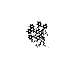 CCCCOP(=O)(OCCCC)OC1OC(CC)C(OCc2ccccc2)C(OC2OC(COCc3ccccc3)C(OCc3ccccc3)C(OCc3ccccc3)C2OCc2ccccc2)C1OC(=O)C(C)(C)C